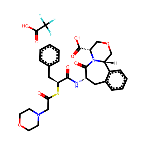 O=C(CN1CCOCC1)S[C@@H](Cc1ccccc1)C(=O)N[C@H]1Cc2ccccc2[C@H]2COC[C@@H](C(=O)O)N2C1=O.O=C(O)C(F)(F)F